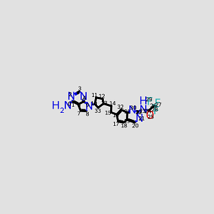 Nc1ncnc2c1ccn2C1CCC(CCc2ccc3cnc(NC(=O)C(F)(F)F)nc3c2)C1